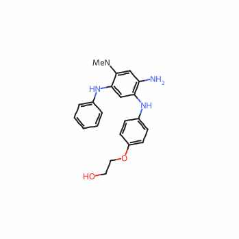 CNc1cc(N)c(Nc2ccc(OCCO)cc2)cc1Nc1ccccc1